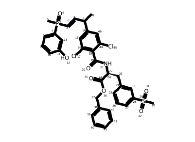 CC(/C=C/P(C)(=O)c1cccc(O)c1)c1cc(Cl)c(C(=O)N[C@@H](Cc2cccc(S(C)(=O)=O)c2)C(=O)OCc2ccccc2)c(Cl)c1